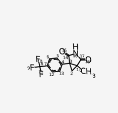 CC12CC1(c1ccc(C(F)(F)F)cc1)C(=O)NC2=O